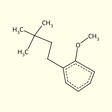 COc1ccccc1[CH]CC(C)(C)C